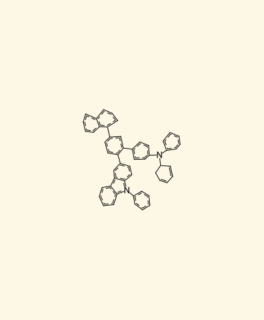 C1=CCC(N(c2ccccc2)c2ccc(-c3cc(-c4cccc5ccccc45)ccc3-c3ccc4c(c3)c3ccccc3n4-c3ccccc3)cc2)C=C1